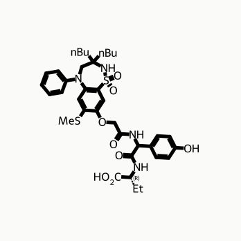 CCCCC1(CCCC)CN(c2ccccc2)c2cc(SC)c(OCC(=O)NC(C(=O)N[C@H](CC)C(=O)O)c3ccc(O)cc3)cc2S(=O)(=O)N1